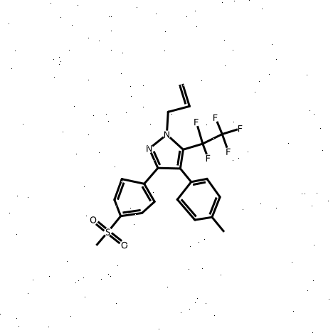 C=CCn1nc(-c2ccc(S(C)(=O)=O)cc2)c(-c2ccc(C)cc2)c1C(F)(F)C(F)(F)F